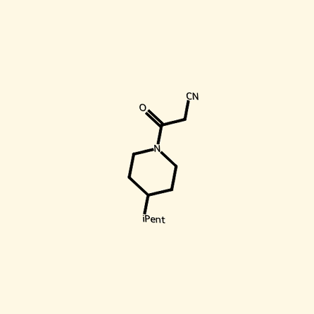 CCCC(C)C1CCN(C(=O)CC#N)CC1